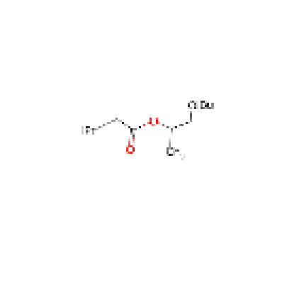 CC(C)COCC(OC(=O)CC(C)C)C(F)(F)F